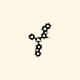 Clc1cc(-c2nc(-c3ccccc3)nc(-c3ccc4c(c3)sc3ccccc34)n2)cc2c1oc1c3ccccc3ccc21